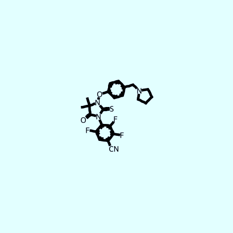 CC1(C)C(=O)N(c2c(F)cc(C#N)c(F)c2F)C(=S)N1Oc1ccc(CN2CCCC2)cc1